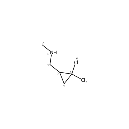 CNCC1CC1(Cl)Cl